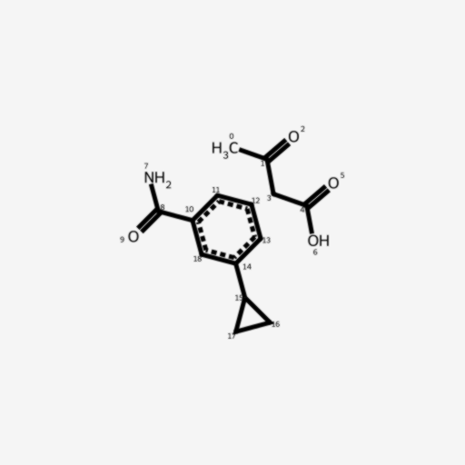 CC(=O)CC(=O)O.NC(=O)c1cccc(C2CC2)c1